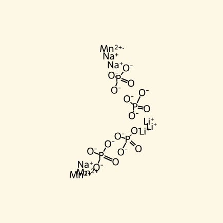 O=P([O-])([O-])[O-].O=P([O-])([O-])[O-].O=P([O-])([O-])[O-].O=P([O-])([O-])[O-].[Li+].[Li+].[Li+].[Mn+2].[Mn+2].[Mn+2].[Na+].[Na+].[Na+]